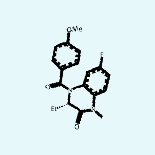 CC[C@H]1C(=O)N(C)c2ccc(F)cc2N1C(=O)c1ccc(OC)cc1